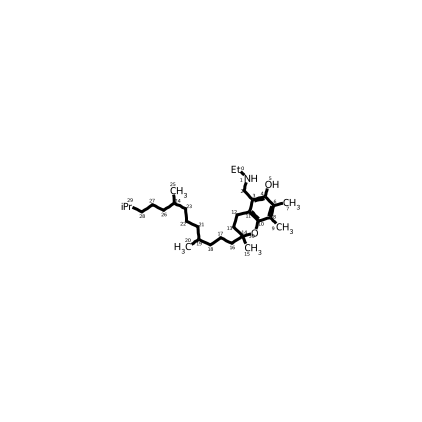 CCNCc1c(O)c(C)c(C)c2c1CCC(C)(CCCC(C)CCCC(C)CCCC(C)C)O2